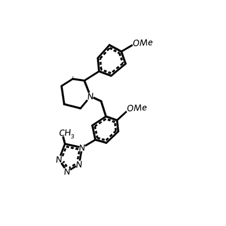 COc1ccc(C2[CH]CCCN2Cc2cc(-n3nnnc3C)ccc2OC)cc1